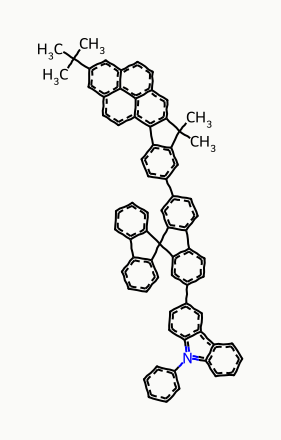 CC(C)(C)c1cc2ccc3cc4c(c5ccc(c1)c2c35)-c1ccc(-c2ccc3c(c2)C2(c5ccccc5-c5ccccc52)c2cc(-c5ccc6c(c5)c5ccccc5n6-c5ccccc5)ccc2-3)cc1C4(C)C